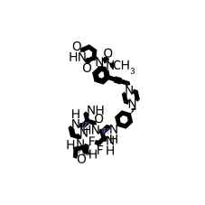 Cn1c(=O)n(C2CCC(=O)NC2=O)c2cccc(C#CCN3CCN(C[C@H]4CC[C@H](N/C=C(/NC(=O)/C(C=N)=C5\N=C(N6C[C@@H]7C[C@H]6CO7)C=CN5)C(=N)C(F)F)CC4)CC3)c21